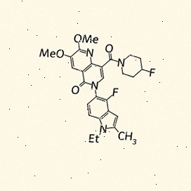 CCn1c(C)cc2c(F)c(-n3cc(C(=O)N4CCC(F)CC4)c4nc(OC)c(OC)cc4c3=O)ccc21